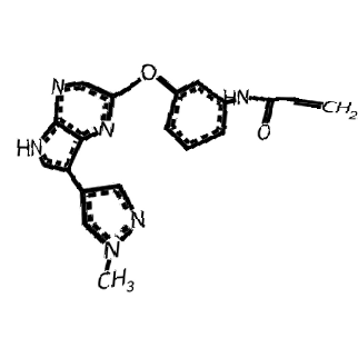 C=CC(=O)Nc1cccc(Oc2cnc3[nH]cc(-c4cnn(C)c4)c3n2)c1